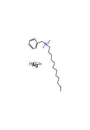 CCCCCCCCCCCC[N+](C)(C)Cc1ccccc1.Cl.[Ag+2]